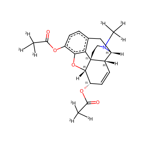 [2H]C([2H])([2H])C(=O)Oc1ccc2c3c1O[C@H]1[C@@H](OC(=O)C([2H])([2H])[2H])C=C[C@H]4[C@@H](C2)N(C([2H])([2H])[2H])CC[C@@]341